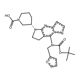 CC(C)(C)OC(=O)N(Cc1ccco1)c1c2c(nc3ccnn13)N([C@H]1CCCN(C(=O)O)C1)CC2